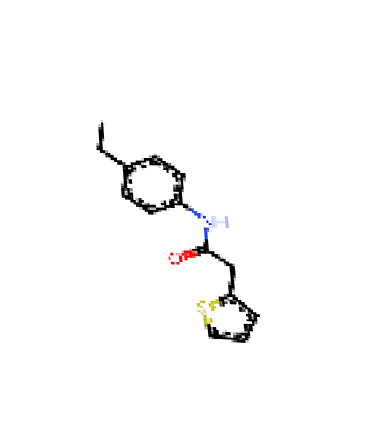 CCc1ccc(NC(=O)Cc2cccs2)cc1